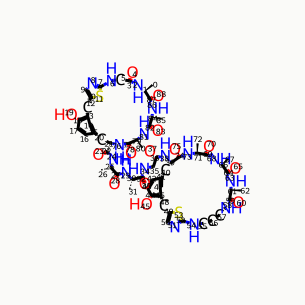 C[C@@H]1NC(=O)CNc2ncc(s2)Cc2cc(ccc2O)C[C@@H](C(=O)N[C@@H](C)C(=O)N[C@@H](C)C(=O)NCC(=O)N[C@H]2Cc3ccc(O)c(c3)Cc3cnc(s3)NCCCNC(=O)[C@H](C)NC(=O)[C@H](C)NC(=O)[C@H](C)NC2=O)NC(=O)[C@H](C)NC(=O)[C@H](C)NC1=O